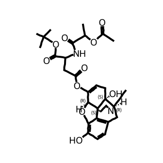 CC(=O)OC(C)C(=O)NC(CC(=O)OC1=CC[C@@]2(O)[C@H]3Cc4ccc(O)c5c4[C@@]2(CCN3C)[C@H]1O5)C(=O)OC(C)(C)C